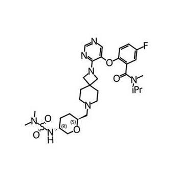 CC(C)N(C)C(=O)c1cc(F)ccc1Oc1cncnc1N1CC2(CCN(C[C@@H]3CC[C@@H](NS(=O)(=O)N(C)C)CO3)CC2)C1